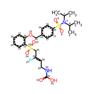 CC(C)N(C(C)C)S(=O)(=O)c1ccc(COc2ccccc2S(=O)(=O)CC(F)=CCNC(=O)O)cc1